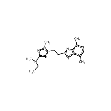 CCN(C)c1nc(CCc2nc3c(C)ncc(C)n3n2)n(C)n1